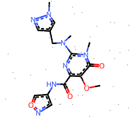 COc1c(C(=O)Nc2cnoc2)nc(N(C)Cc2cnn(C)c2)n(C)c1=O